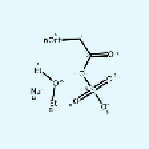 CCCCCCCCCC(=O)OS(=O)(=O)[O-].CCOCC.[Na+]